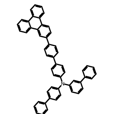 c1ccc(-c2ccc(N(c3ccc(-c4ccc(-c5ccc6c7ccccc7c7ccccc7c6c5)cc4)cc3)c3cccc(-c4ccccc4)c3)cc2)cc1